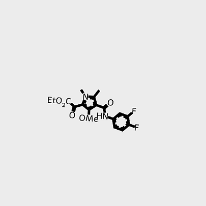 CCOC(=O)C(=O)c1c(OC)c(C(=O)Nc2ccc(F)c(F)c2)c(C)n1C